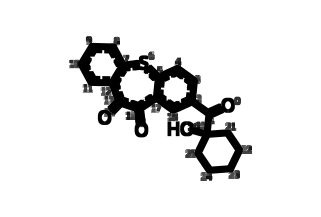 O=C(c1ccc2sc3ccccc3c(=O)c(=O)c2c1)C1(O)CCCCC1